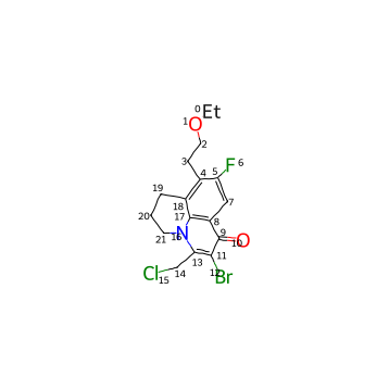 CCOCCc1c(F)cc2c(=O)c(Br)c(CCl)n3c2c1CCC3